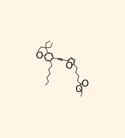 CCCCCCc1cc2c(cc1C#Cc1ccc(CCCCC(=O)OCC)o1)C(CC)(CC)CCO2